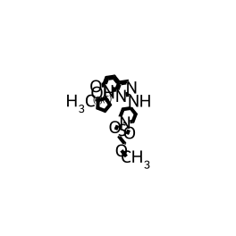 COCCS(=O)(=O)N1CCC(Nc2ncc3ccc(=O)n([C@H]4CCC[C@]4(C)O)c3n2)CC1